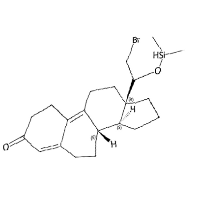 C[SiH](C)OC(CBr)[C@@]12CCC[C@H]1[C@@H]1CCC3=CC(=O)CCC3=C1CC2